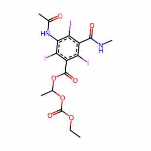 CCOC(=O)OC(C)OC(=O)c1c(I)c(NC(C)=O)c(I)c(C(=O)NC)c1I